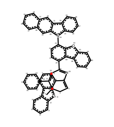 CC1C/C=C(c2cccc3c2sc2ccccc23)/N=C(c2ccc(-n3c4ccccc4c4cc5ccccc5cc43)c3oc4ccccc4c23)\N=C/1c1ccccc1